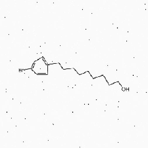 OCCCCCCCCCc1ccc(Br)cc1